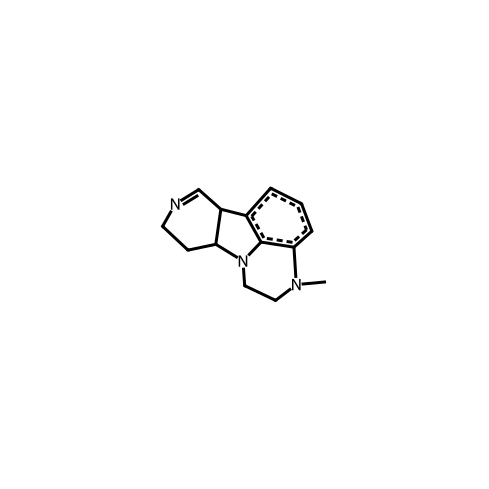 CN1CCN2c3c(cccc31)C1C=NCCC12